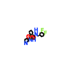 O=C(NCc1ccc(F)c(F)c1)c1ccccc1S(=O)(=O)Nc1cccnc1